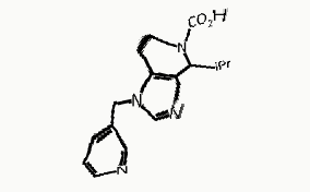 CC(C)C1c2ncn(Cc3cccnc3)c2CCN1C(=O)O